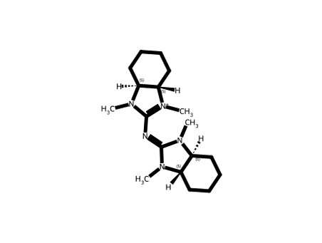 CN1C(=NC2=[N+](C)[C@H]3CCCC[C@@H]3N2C)N(C)[C@H]2CCCC[C@@H]21